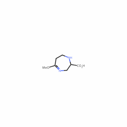 COC1=NCC(C(=O)O)NCC1